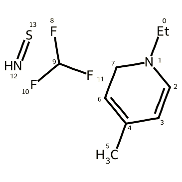 CCN1C=CC(C)=CC1.FC(F)F.N=S